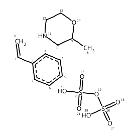 C=Cc1ccccc1.CC1CNCCO1.O=S(=O)(O)OS(=O)(=O)O